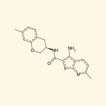 Cc1ccc2c(c1)OC[C@H](NC(=O)c1sc3nc(C)ccc3c1N)C2